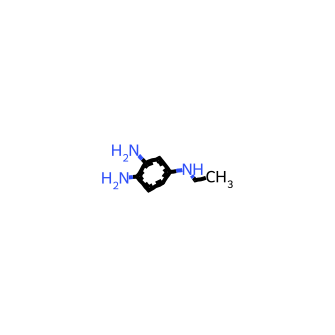 CCNc1ccc(N)c(N)c1